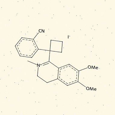 COc1cc2c(cc1OC)C(C1(c3ccccc3C#N)CCC1)=[N+](C)CC2.[I-]